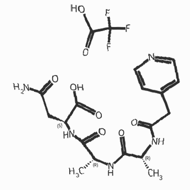 C[C@@H](NC(=O)Cc1ccncc1)C(=O)N[C@H](C)C(=O)N[C@@H](CC(N)=O)C(=O)O.O=C(O)C(F)(F)F